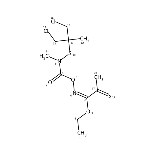 CCOC(=NOC(=O)N(C)SC(C)(CCl)CCl)C(C)=S